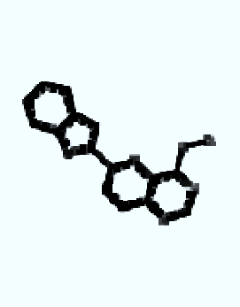 CCOc1ncnc2ccc(-c3cc4ccccc4o3)nc12